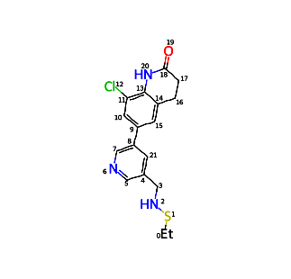 CCSNCc1cncc(-c2cc(Cl)c3c(c2)CCC(=O)N3)c1